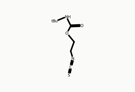 CC(C)(C)NC(=O)OCCN=C=S